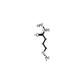 CCCNC(=O)CCCSC(C)=O